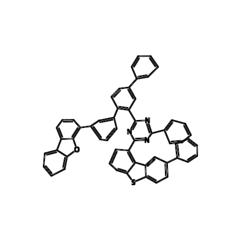 c1ccc(-c2ccc(-c3cccc(-c4cccc5c4oc4ccccc45)c3)c(-c3nc(-c4ccccc4)nc(-c4cccc5sc6ccc(-c7ccccc7)cc6c45)n3)c2)cc1